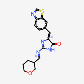 O=C1NC(/N=C/C2CCCOC2)=NC/1=C\c1ccc2ncsc2c1